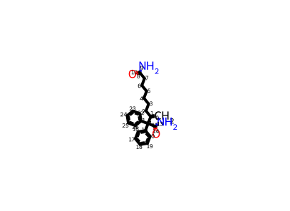 C=C(CCCCCCC(N)=O)C(C(N)=O)(c1ccccc1)c1ccccc1